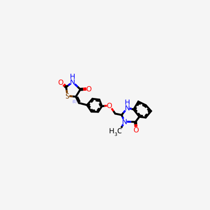 CN1C(=O)c2ccccc2NC1COc1ccc(/C=C2/SC(=O)NC2=O)cc1